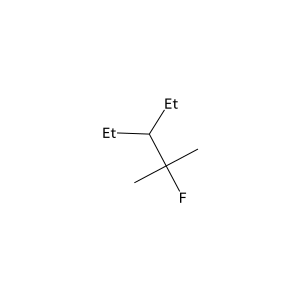 CCC(CC)C(C)(C)F